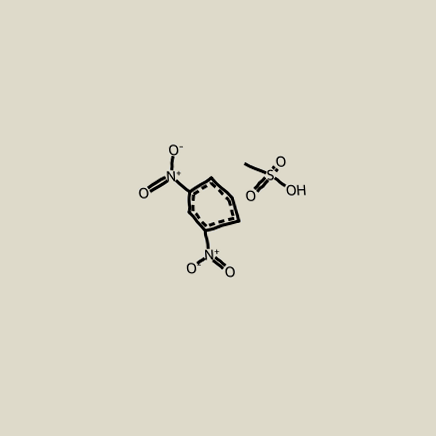 CS(=O)(=O)O.O=[N+]([O-])c1cccc([N+](=O)[O-])c1